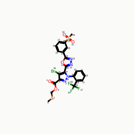 CSCOC(=O)c1nn(-c2ccccc2C(F)(F)F)c(-c2nnc(-c3cccc(S(C)(=O)=O)c3)o2)c1Br